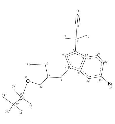 CC(C)(C#N)c1cn(CC(CF)CO[Si](C)(C)C(C)(C)C)c2cc(Br)ccc12